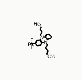 OCCCCN1c2ccccc2N(CCCCO)c2cc(C(F)(F)F)ccc21